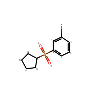 O=S(=O)(c1cccc(I)c1)C1CCCC1